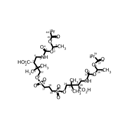 CC(OC(=O)NC[C@@H](C(=O)O)C(C)(C)COS(=O)(=O)CCCS(=O)(=O)OCC(C)(C)[C@@H](CNC(=O)OC(C)OC(=O)C(C)C)C(=O)O)OC(=O)C(C)C